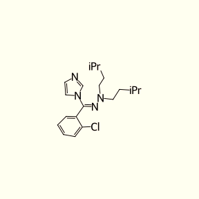 CC(C)CCN(CCC(C)C)N=C(c1ccccc1Cl)n1ccnc1